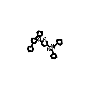 CN1C=C(C2N=C(c3ccccc3)N3C(c4ccccc4)N23)C=CC1n1c2ccccc2c2ccc(-c3ccccc3)cc21